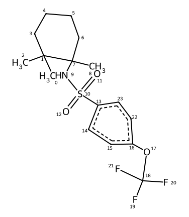 CC1(C)CCCCC1(C)NS(=O)(=O)c1ccc(OC(F)(F)F)cc1